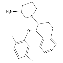 Cc1ccc(F)c(OC2c3ccccc3CCC2N2CCC[C@H](N)C2)c1